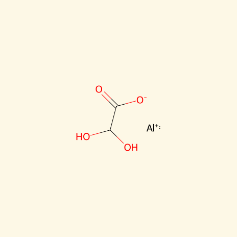 O=C([O-])C(O)O.[Al+]